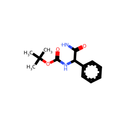 CC(C)(C)OC(=O)NC(C([NH])=O)c1ccccc1